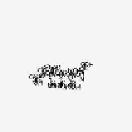 CC(=O)Nc1cc(N=Nc2cc(SCCCS(=O)(=O)O)c(N=Nc3cc(OCCCS(=O)(=O)O)c(N=Nc4c(C)c(C#N)c5nc6c(C)c(S(=O)(=O)O)ccc6n5c4O)cc3C)cc2NC(C)=O)c(SCCCS(=O)(=O)O)cc1N=Nc1ccc(Cl)c(S(=O)(=O)O)c1